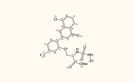 CCNS(=O)(=O)NC(COc1cc(C(F)(F)F)ccc1-c1cc(=O)c2cccc(Cl)c2o1)C(=O)OC